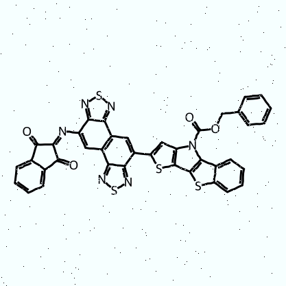 O=C(OCc1ccccc1)n1c2cc(-c3cc4c(cc(N=c5c(=O)c6ccccc6c5=O)c5nsnc54)c4nsnc34)sc2c2sc3ccccc3c21